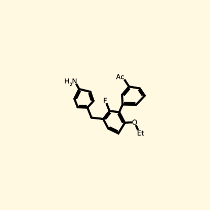 CCOc1ccc(Cc2ccc(N)cc2)c(F)c1-c1cccc(C(C)=O)c1